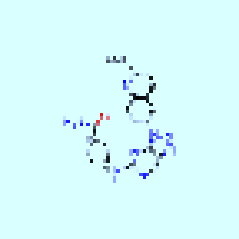 COc1ccc2cc(-n3nnc4cnc(N[C@@H]5CC[C@@H](C(N)=O)C5)nc43)ccc2n1